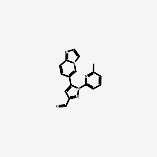 Cc1cccc(-n2nc(C=O)cc2-c2ccc3nccn3c2)n1